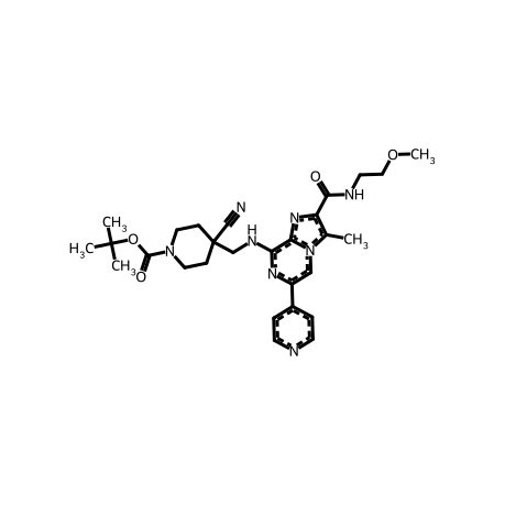 COCCNC(=O)c1nc2c(NCC3(C#N)CCN(C(=O)OC(C)(C)C)CC3)nc(-c3ccncc3)cn2c1C